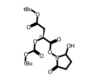 CC(C)(C)OC(=O)C[C@H](OC(=O)OC(C)(C)C)C(=O)ON1C(=O)CCC1O